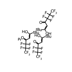 CC(C)(C)/C(O)=C/C(=O)C(F)(F)C(F)(F)C(F)(F)F.CC(C)(C)/C(O)=C/C(=O)C(F)(F)C(F)(F)C(F)(F)F.CC(C)(C)/C(O)=C\C(=O)C(F)(F)C(F)(F)C(F)(F)F.[Pr]